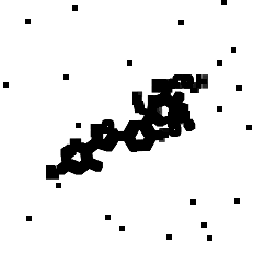 CN=[S@@]1(=O)C[C@@](CF)(c2cc(-c3cc(-c4ncc(Br)cc4C)no3)ccc2F)N=C(NC(=O)O)C1(C)C